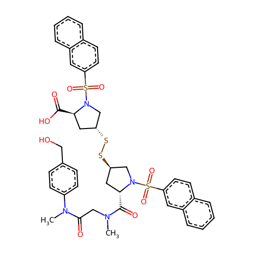 CN(CC(=O)N(C)c1ccc(CO)cc1)C(=O)[C@@H]1C[C@@H](SS[C@@H]2C[C@@H](C(=O)O)N(S(=O)(=O)c3ccc4ccccc4c3)C2)CN1S(=O)(=O)c1ccc2ccccc2c1